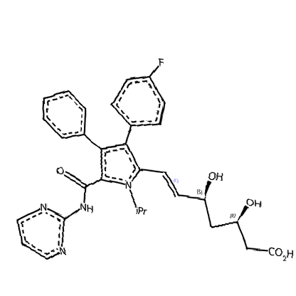 CC(C)n1c(/C=C/[C@@H](O)C[C@@H](O)CC(=O)O)c(-c2ccc(F)cc2)c(-c2ccccc2)c1C(=O)Nc1ncccn1